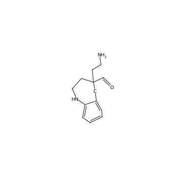 NCCC1(C=O)CCNc2ccccc2C1